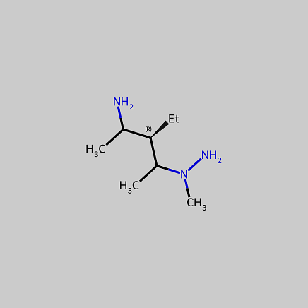 CC[C@H](C(C)N)C(C)N(C)N